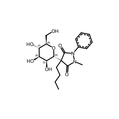 CCCCC1([C@H]2O[C@H](CO)[C@@H](O)[C@H](O)[C@@H]2O)C(=O)N(C)N(c2ccccc2)C1=O